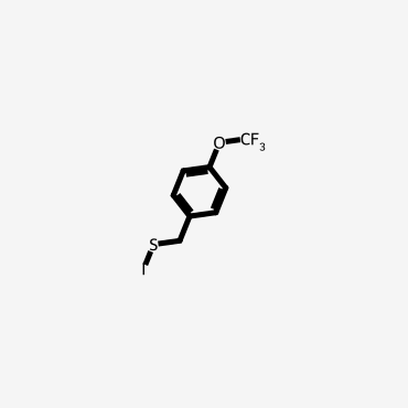 FC(F)(F)Oc1ccc(CSI)cc1